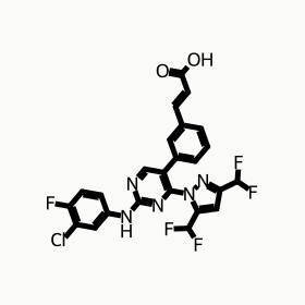 O=C(O)/C=C/c1cccc(-c2cnc(Nc3ccc(F)c(Cl)c3)nc2-n2nc(C(F)F)cc2C(F)F)c1